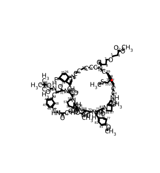 COC(=O)CCOCCC(=O)N1CCCCCCn2cc(c3cc(F)ccc32)C[C@@H]2NC(=O)[C@@H](NC(=O)OC(C)(C)C)Cc3cccc(c3)CNC(=O)CO[C@H]3CCCN(C2=O)[C@@H]3C(=O)N[C@@H]([C@@H](C)O)C(=O)N[C@@H](Cc2ccc(OC)cc2)C(=O)N2CCC[C@@]2(C)C(=O)NCCc2ccc(cc2CSC)C1